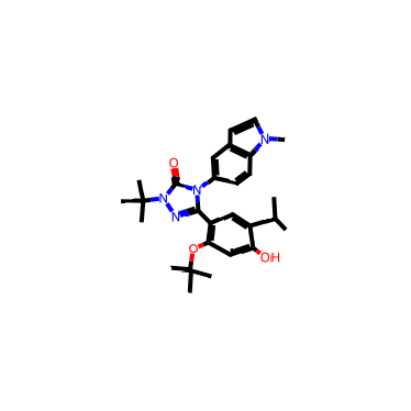 CC(C)c1cc(-c2nn(C(C)(C)C)c(=O)n2-c2ccc3c(ccn3C)c2)c(OC(C)(C)C)cc1O